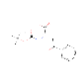 CC(C)(C)OC(=O)N[C@@H](CC(=O)c1ccccc1)C(=O)O